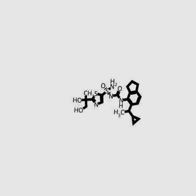 CC(c1ccc2c(c1NC(=O)N=S(N)(=O)c1cnc(C(C)(O)CO)s1)CCC2)C1CC1